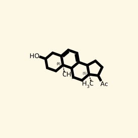 CC(=O)C1CCC2C3=CC=C4CC(O)CC[C@]4(C)C3CC[C@]12C